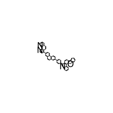 c1cnc2c(c1)ccc1c(-c3ccc4c(ccc5cc(-c6ccc(-c7nc8ccccc8c8c7ccc7c9ccccc9oc78)cc6)ccc54)c3)ccnc12